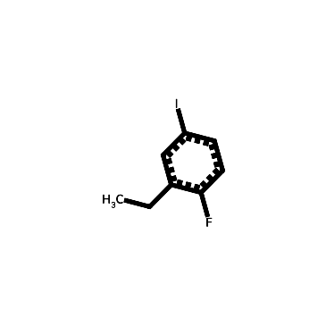 CCc1cc(I)ccc1F